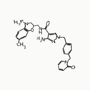 Cc1ccc2c(c1)OC(CNC(=O)c1cn(Cc3ccc(Cn4ccccc4=O)cc3)nc1N)CN2P